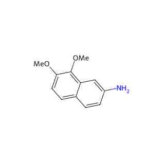 COc1ccc2ccc(N)cc2c1OC